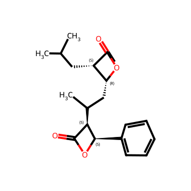 CC(C)C[C@@H]1C(=O)O[C@@H]1CC(C)[C@@H]1C(=O)O[C@@H]1c1ccccc1